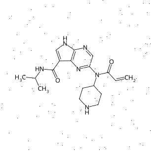 C=CC(=O)N(c1cnc2[nH]cc(C(=O)NC(C)C)c2n1)C1CCNCC1